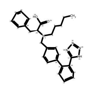 CCCCCN(Cc1ccc(-c2ccccc2-c2nnn[nH]2)cc1)[C@@H](Cc1ccccc1)C(=O)O